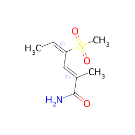 C/C=C(\C=C(/C)C(N)=O)S(C)(=O)=O